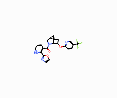 O=C(C1=C(c2ncco2)NCC=C1)N1CC2CC23CC(Oc2ccc(C(F)(F)F)cn2)C13